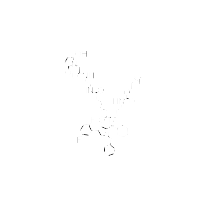 C[Si](C)(C)CCOC(=O)NCCCN(C(=O)CSCCC(=O)NCCNC(=O)CN1C(=O)C=CC1O)[C@@H](c1cc(-c2cc(F)ccc2F)cn1Cc1ccccc1)C1CCCCC1